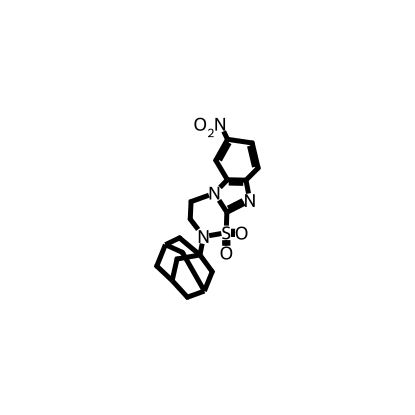 O=[N+]([O-])c1ccc2nc3n(c2c1)CCN(C12CC4CC(CC(C4)C1)C2)S3(=O)=O